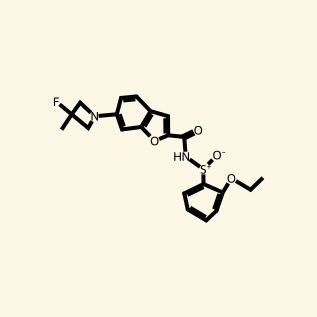 CCOc1ccccc1[S+]([O-])NC(=O)c1cc2ccc(N3CC(C)(F)C3)cc2o1